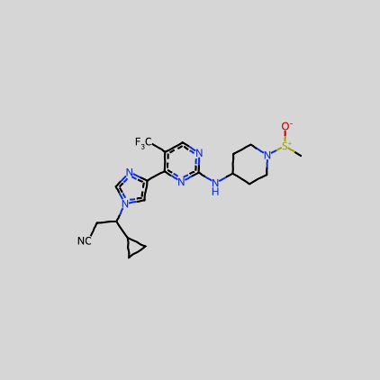 C[S+]([O-])N1CCC(Nc2ncc(C(F)(F)F)c(-c3cn(C(CC#N)C4CC4)cn3)n2)CC1